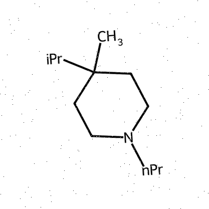 CCCN1CCC(C)(C(C)C)CC1